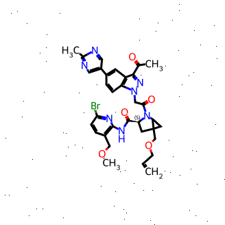 C=CCOCC12CC1N(C(=O)Cn1nc(C(C)=O)c3cc(-c4cnc(C)nc4)ccc31)[C@H](C(=O)Nc1nc(Br)ccc1COC)C2